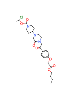 CCCCOC(=O)COc1ccc(C(=O)CN2CCN(C3CCN(C(=O)OC(C)Cl)CC3)CC2=O)cc1